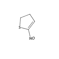 O=NC1=CCCS1